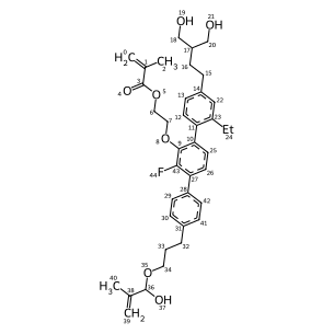 C=C(C)C(=O)OCCOc1c(-c2ccc(CCC(CO)CO)cc2CC)ccc(-c2ccc(CCCOC(O)C(=C)C)cc2)c1F